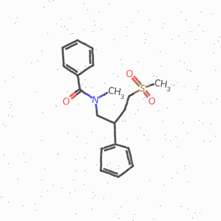 CN(CC(CCS(C)(=O)=O)c1ccccc1)C(=O)c1ccccc1